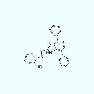 CC(=Nc1ccccc1C(C)C)c1nc2c(-c3ccccc3)ccc(-c3ccccc3)c2[nH]1